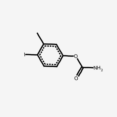 Cc1cc(OC(N)=O)ccc1I